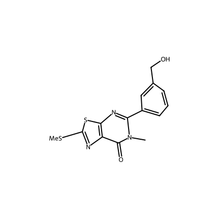 CSc1nc2c(=O)n(C)c(-c3cccc(CO)c3)nc2s1